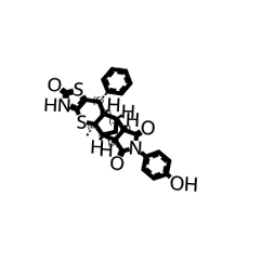 C[C@]12Sc3[nH]c(=O)sc3[C@H](c3ccccc3)[C@H]1[C@H]1C[C@@H]2[C@H]2C(=O)N(c3ccc(O)cc3)C(=O)[C@@H]12